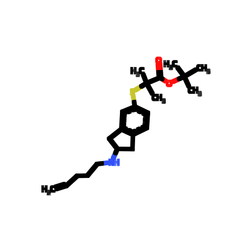 C=CCCCNC1Cc2ccc(SC(C)(C)C(=O)OC(C)(C)C)cc2C1